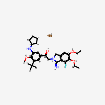 Br.CCOc1cc2c(c(F)c1OCC)C(=N)N(CC(=O)c1cc(NC3CCCC3)c(OC)c(C(C)(C)C)c1)C2